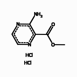 COC(=O)c1nccnc1N.Cl.Cl